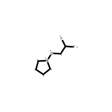 FC(F)CON1CCCC1